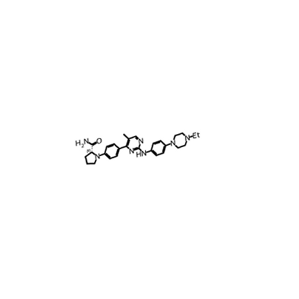 CCN1CCN(c2ccc(Nc3ncc(C)c(-c4ccc(N5CCC[C@@H]5C(N)=O)cc4)n3)cc2)CC1